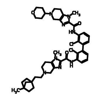 Cn1c(C(=O)Nc2cccc(-c3cccc(NC(=O)c4nc5c(n4C)CCN(C4CCOCC4)C5)c3Cl)c2Cl)nc2c1CCN(CCC13CCC(C)(CC1)C3)C2